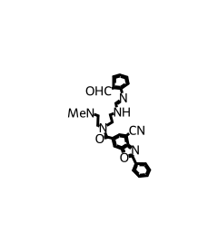 CNCCN(CCN/C=N/c1ccccc1C=O)C(=O)c1cc(C#N)c2nc(-c3ccccc3)oc2c1